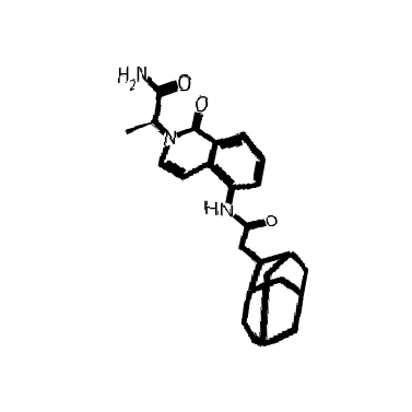 C[C@@H](C(N)=O)n1ccc2c(NC(=O)CC3C4CC5CC(C4)CC3C5)cccc2c1=O